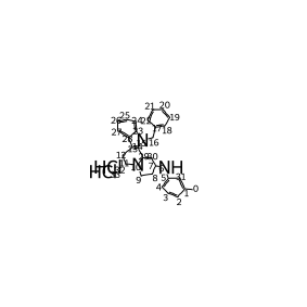 Cc1cccc(NC2CCN3CCc4c(n(Cc5ccccc5)c5ccccc45)C3C2)c1.Cl.Cl